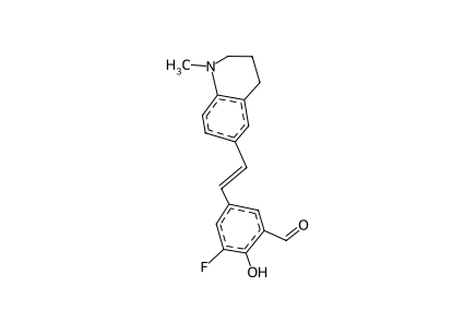 CN1CCCc2cc(/C=C/c3cc(F)c(O)c(C=O)c3)ccc21